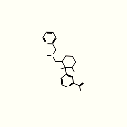 COC1(c2ccnc(C(N)=O)c2)C(C)CCCC1CN(C)Cc1ccccn1